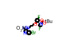 CC(C)(C)OC(=O)N1C[C@@H](F)C[C@@H]1c1cc(F)ccc1OCCCCNc1c([N+](=O)[O-])cnc2ccc(Br)cc12